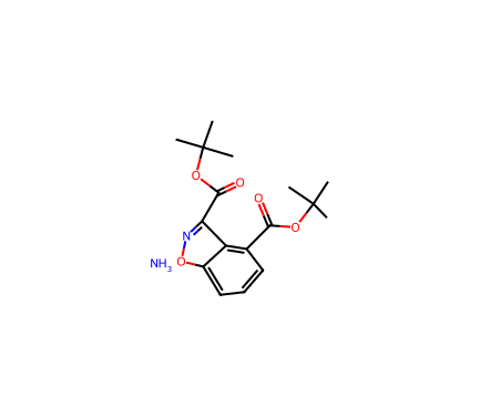 CC(C)(C)OC(=O)c1cccc2onc(C(=O)OC(C)(C)C)c12.N